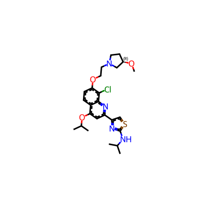 CO[C@@H]1CCN(CCOc2ccc3c(OC(C)C)cc(-c4csc(NC(C)C)n4)nc3c2Cl)C1